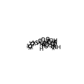 O=C(CSc1ccc2ccccc2c1)N[C@@H]1C(=O)N2C(C(=O)O)=C(C(CC3CC3)=C3CCNC3=O)CS[C@H]12